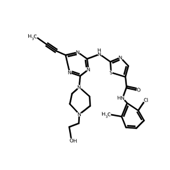 CC#Cc1nc(Nc2ncc(C(=O)Nc3c(C)cccc3Cl)s2)nc(N2CCN(CCO)CC2)n1